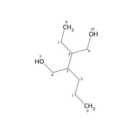 CCCC(CO)C(CC)CO